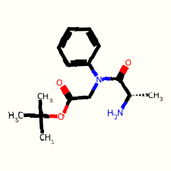 C[C@H](N)C(=O)N(CC(=O)OC(C)(C)C)c1ccccc1